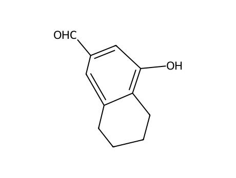 O=Cc1cc(O)c2c(c1)CCCC2